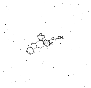 C=COc1ccc(CC2C(c3conc3NC(C)=O)=Cc3ccccc32)cc1